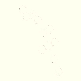 c1ccc(-c2ccc(-c3c4ccccc4c(-c4ccc(-c5ccc6oc7c8ccccc8ccc7c6c5)c5ccccc45)c4ccccc34)cc2)cc1